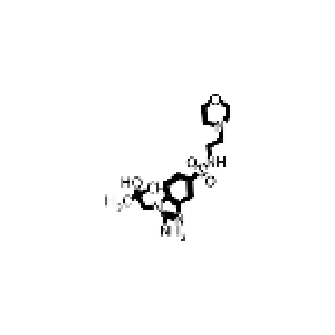 CC(C)(O)Cn1c(N)nc2cc(S(=O)(=O)NCCN3CCOCC3)ccc21